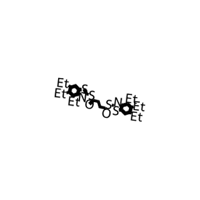 CCc1cc2sc(SC(=O)CCC(=O)Sc3nc4c(CC)c(CC)c(CC)cc4s3)nc2c(CC)c1CC